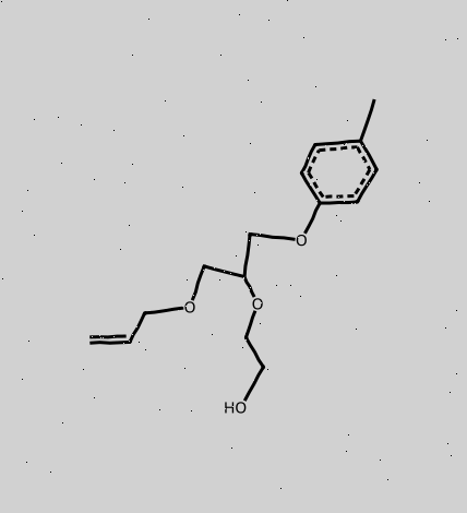 C=CCOCC(COc1ccc(C)cc1)OCCO